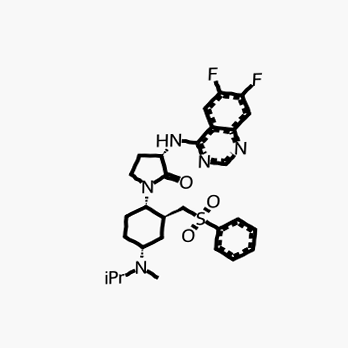 CC(C)N(C)[C@@H]1CC[C@H](N2CC[C@H](Nc3ncnc4cc(F)c(F)cc34)C2=O)[C@@H](CS(=O)(=O)c2ccccc2)C1